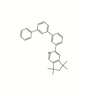 CC1(C)CC(C)(C)c2cc(-c3cccc(-c4cccc(-c5ccccc5)c4)c3)ncc21